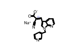 N#C/C(=C\c1cn(Cc2cccnc2)c2ncccc12)C(=O)[O-].[Na+]